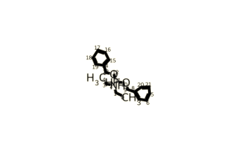 CCNCC.c1ccc(COPOCc2ccccc2)cc1